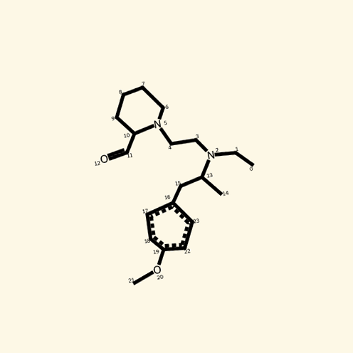 CCN(CCN1CCCCC1C=O)C(C)Cc1ccc(OC)cc1